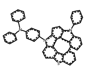 c1ccc(N(c2ccccc2)c2ccc(-n3c4ccc5sc6cccc7c8cccc9c8c8c(c4c5c67)c3ccc8n9-c3ccccc3)cc2)cc1